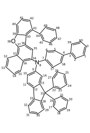 c1ccc(-c2ccc(N(c3ccc4c(c3)C(c3ccccc3)(c3ccccc3)c3ccccc3-4)c3cc4c(oc5cccc(-c6ccccc6)c54)c4ccccc34)cc2)cc1